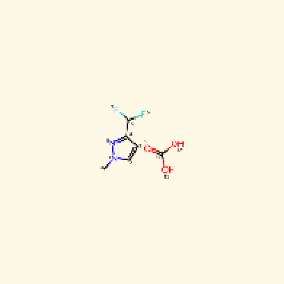 Cn1ccc(C(F)F)n1.O=C(O)O